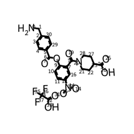 NCc1ccc(C(=O)Oc2ccc([N+](=O)[O-])cc2C(=O)N2CCC(C(=O)O)CC2)cc1.O=C(O)C(F)(F)F